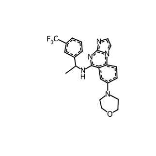 CC(Nc1nc2nccn2c2ccc(N3CCOCC3)cc12)c1cccc(C(F)(F)F)c1